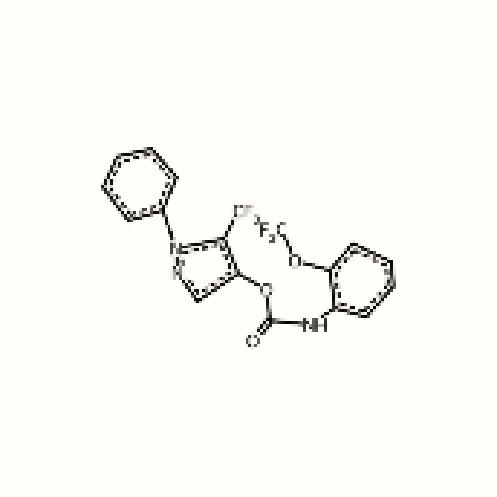 O=C(Nc1ccccc1OC(F)(F)F)Oc1cnn(-c2ccccc2)c1C(F)(F)F